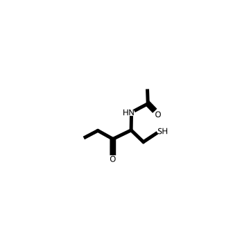 CCC(=O)C(CS)NC(C)=O